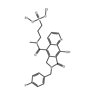 CCOP(=O)(CCCN(C)C(=O)c1c2c(c(O)c3ncccc13)C(=O)N(Cc1ccc(F)cc1)C2)OCC